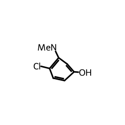 CNc1cc(O)ccc1Cl